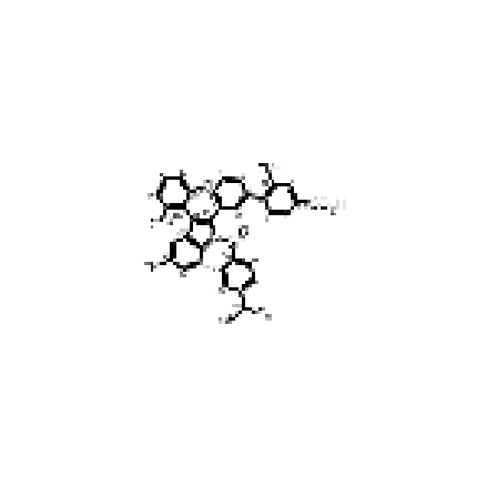 O=C(O)c1ccc(-c2cccc(-c3c(-c4c(Cl)cccc4Cl)c4cc(F)ccc4n3[S+]([O-])c3ccc(C(F)F)cc3)c2)c(Cl)c1